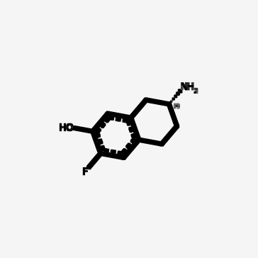 N[C@@H]1CCc2cc(F)c(O)cc2C1